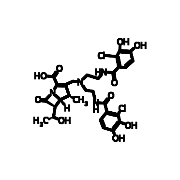 C[C@@H](O)[C@H]1C(=O)N2C(C(=O)O)=C(CN(CCNC(=O)c3ccc(O)c(O)c3Cl)CCNC(=O)c3ccc(O)c(O)c3Cl)[C@H](C)[C@H]12